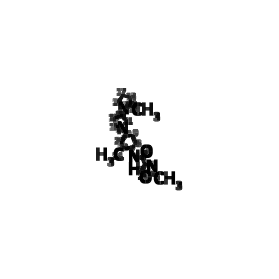 Cc1nc(C(=O)Nc2ccc(N3CC[C@H](N4CCC[C@@H]4C)C3)cc2C)co1